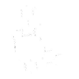 CC1C[C@@H]2OC(=O)c3cc4cc(ccc4c(-c4ccccc4)c3CO)OCc3cccc(c3)C2C(C)O1